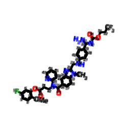 COc1ccc(F)cc1OC(=O)CCN(C(=O)c1ccc2c(c1)nc(CNc1ccc(/C(N)=N/C(=O)OCCC(F)(F)F)cc1)n2C)c1ccccn1